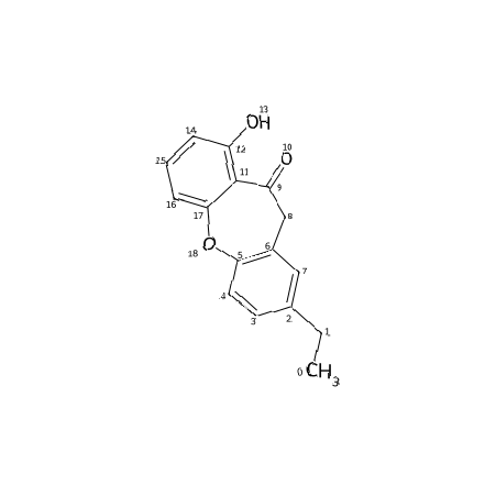 CCc1ccc2c(c1)CC(=O)c1c(O)cccc1O2